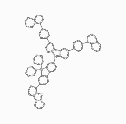 c1ccc([Si]2(c3ccccc3)c3cc(-c4cccc5c4oc4ccccc45)ccc3-c3ccc(-n4c5ccc(-c6ccc(-c7cccc8ccccc78)cc6)cc5c5cc(-c6ccc(-c7cccc8ccccc78)cc6)ccc54)cc32)cc1